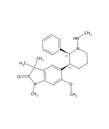 CNN1CCC[C@@H](c2cc3c(cc2OC)N(C)C(=O)C3(C)C)[C@H]1c1ccccc1